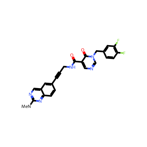 CNc1ncc2cc(C#CCNC(=O)c3cncn(Cc4ccc(F)c(F)c4)c3=O)ccc2n1